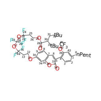 CCCCCc1ccc(-c2cc3ccc(OCCC(F)(F)OC(F)(F)OC(F)(F)CCOC(=O)C(CC(C)(C)C)C(C)(C)C)cc3oc2=O)c(OC(F)(F)F)c1